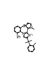 Cc1ccccc1C(C)(C)c1cn(-c2c(C(C)C)cccc2C(C)C)c(-c2nccn2C)[n+]1C